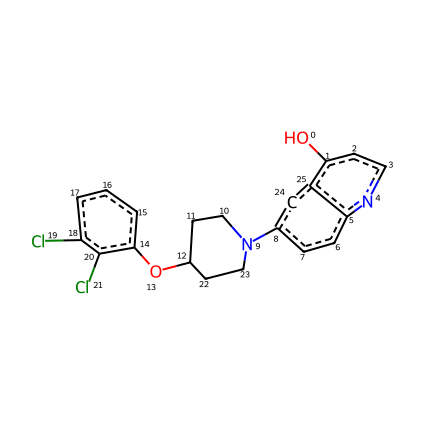 Oc1ccnc2ccc(N3CCC(Oc4cccc(Cl)c4Cl)CC3)cc12